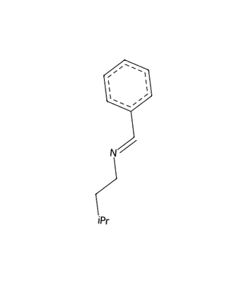 CC(C)CC/N=C/c1ccccc1